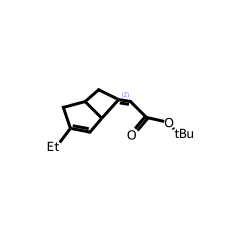 CCC1=CC2/C(=C\C(=O)OC(C)(C)C)CC2C1